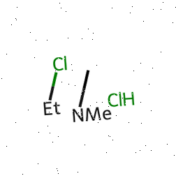 CCCl.CNC.Cl